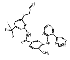 Cc1ccc(C(=O)Nc2cc(OCCCl)cc(C(F)(F)F)c2)cc1Nc1ncccc1-c1ccncn1